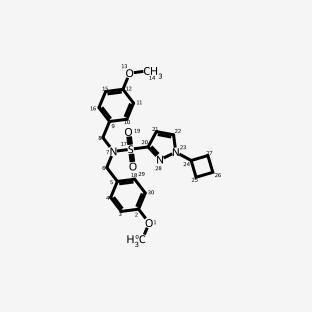 COc1ccc(CN(Cc2ccc(OC)cc2)S(=O)(=O)c2ccn(C3CCC3)n2)cc1